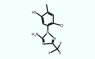 Cc1cc(Cl)c(-n2nc(C(F)(F)F)nc2N)cc1S